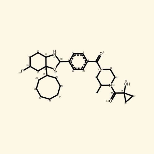 CC1CN(C(=O)c2ccc(C3NC4CCC(F)CC4(C4CCCCCCC4)O3)cc2)CCN1C(=O)C1(O)CC1